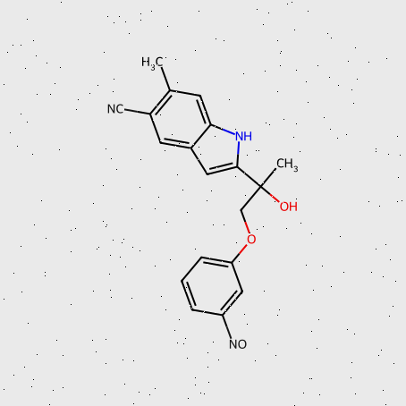 Cc1cc2[nH]c(C(C)(O)COc3cccc(N=O)c3)cc2cc1C#N